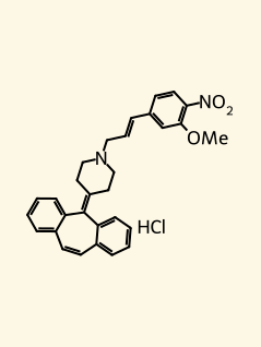 COc1cc(/C=C/CN2CCC(=C3c4ccccc4C=Cc4ccccc43)CC2)ccc1[N+](=O)[O-].Cl